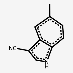 Cc1ccc2[nH]cc(C#N)c2c1